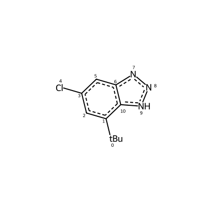 CC(C)(C)c1cc(Cl)cc2nn[nH]c12